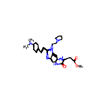 CN(C)c1ccc(/C=C/c2nc3cc4[nH]c(=O)c(CCC(=O)OC(C)(C)C)nc4cc3n2CCN2CCCC2)cc1